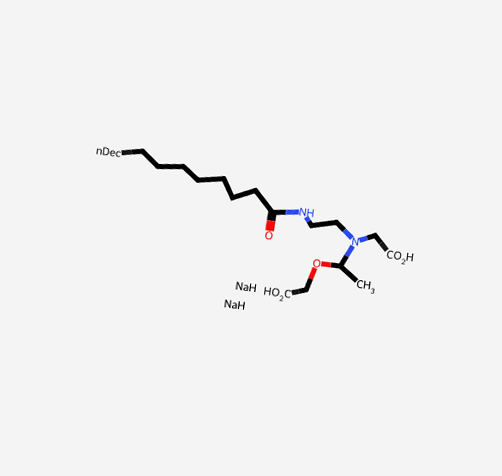 CCCCCCCCCCCCCCCCCC(=O)NCCN(CC(=O)O)C(C)OCC(=O)O.[NaH].[NaH]